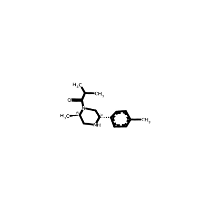 Cc1ccc([C@H]2CN(C(=O)C(C)C)[C@H](C)CN2)cc1